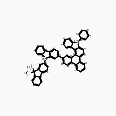 CC1(C)c2ccccc2-c2ccc(-n3c4ccccc4c4ccc(-c5ccc6c7ccccc7c7ccc8c(c9ccccc9n8-c8ccccc8)c7c6c5)cc43)cc21